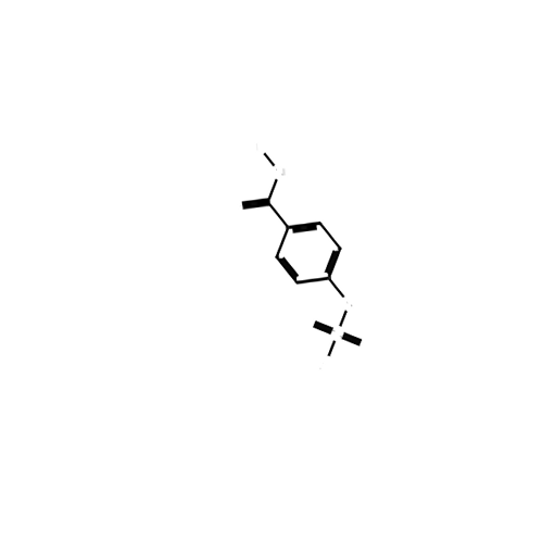 CS(=O)(=O)Nc1ccc(C(=O)NF)cc1